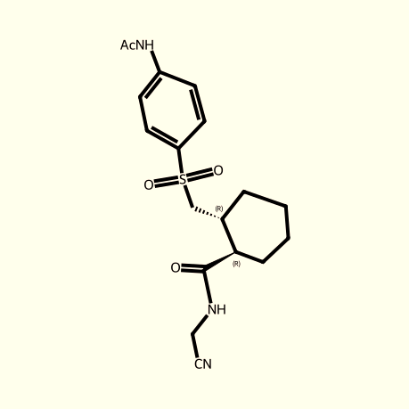 CC(=O)Nc1ccc(S(=O)(=O)C[C@@H]2CCCC[C@H]2C(=O)NCC#N)cc1